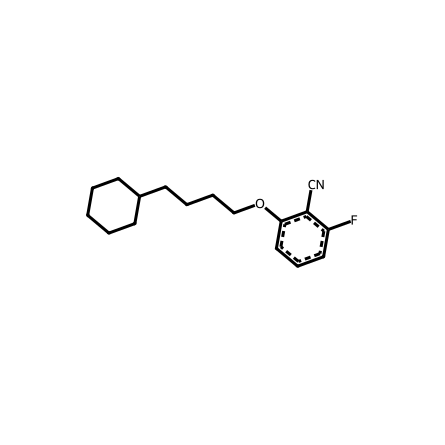 N#Cc1c(F)cccc1OCCCCC1CCCCC1